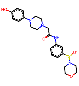 O=C(CN1CCN(c2ccc(O)cc2)CC1)Nc1cccc([S+]([O-])N2CCOCC2)c1